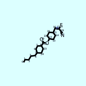 CCCCCC1CCC(C(=O)OC2CCC(/C=C(/F)C#N)CC2)CC1